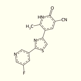 Cc1[nH]c(=O)c(C#N)cc1-c1csc(-c2cncc(F)c2)n1